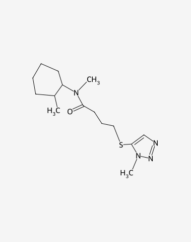 CC1CCCCC1N(C)C(=O)CCCSc1cnnn1C